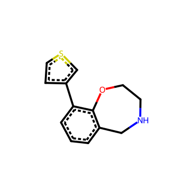 c1cc2c(c(-c3ccsc3)c1)OCCNC2